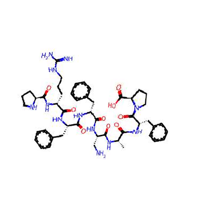 C[C@H](NC(=O)[C@H](CN)NC(=O)[C@@H](Cc1ccccc1)NC(=O)[C@H](Cc1ccccc1)NC(=O)[C@@H](CCCNC(=N)N)NC(=O)[C@@H]1CCCN1)C(=O)N[C@@H](Cc1ccccc1)C(=O)N1CCC[C@@H]1C(=O)O